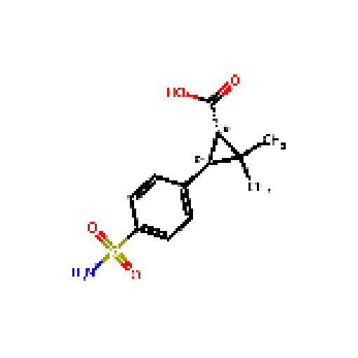 CC1(C)[C@@H](C(=O)O)[C@@H]1c1ccc(S(N)(=O)=O)cc1